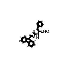 O=CC(Cc1ccccc1)NC(=O)OCC1c2ccccc2-c2ccccc21